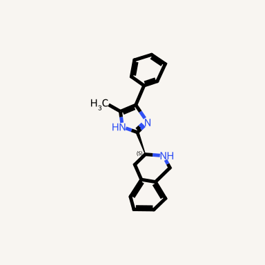 Cc1[nH]c([C@@H]2Cc3ccccc3CN2)nc1-c1ccccc1